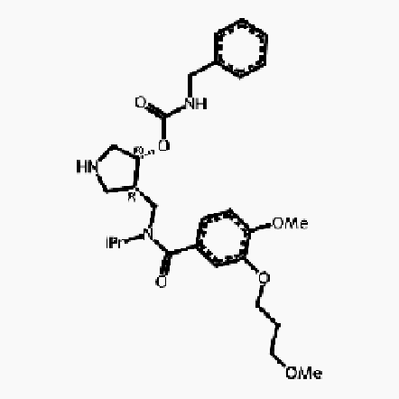 COCCCOc1cc(C(=O)N(C[C@H]2CNC[C@@H]2OC(=O)NCc2ccccc2)C(C)C)ccc1OC